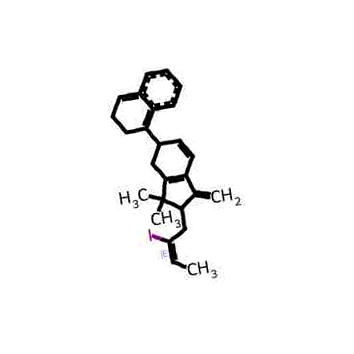 C=C1C2=C(CC(C3=c4ccccc4=CCC3)C=C2)C(C)(C)C1C/C(I)=C\C